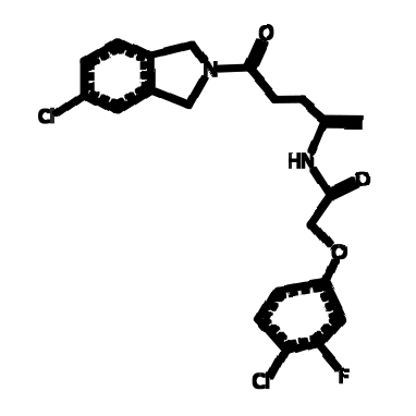 C=C(CCC(=O)N1Cc2ccc(Cl)cc2C1)NC(=O)COc1ccc(Cl)c(F)c1